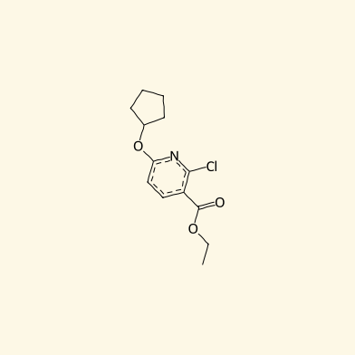 CCOC(=O)c1ccc(OC2CCCC2)nc1Cl